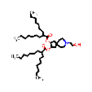 CCCCCCCC(CCCCCCC)C(=O)O[C@@H]1CC2(CCN(CCO)CC2)C[C@H]1OC(=O)C(CCCCCCC)CCCCCCC